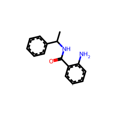 CC(NC(=O)c1c[c]ccc1N)c1ccccc1